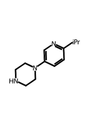 CC(C)c1ccc(N2CCNCC2)cn1